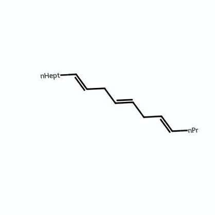 [CH2]CCCCCC/C=C/C/C=C/C/C=C/CCC